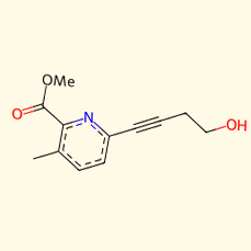 COC(=O)c1nc(C#CCCO)ccc1C